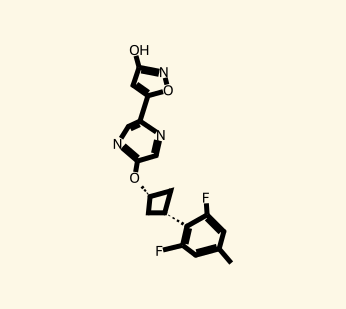 Cc1cc(F)c([C@H]2C[C@@H](Oc3cnc(-c4cc(O)no4)cn3)C2)c(F)c1